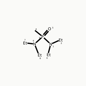 CCN(CC)P(C)(=O)N(CC)CC